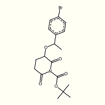 CC(OC1CCC(=O)N(C(=O)OC(C)(C)C)C1=O)c1ccc(Br)cc1